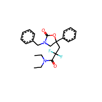 CCN(CC)C(=O)C(F)(F)CC1(c2ccccc2)CN(Cc2ccccc2)C(=O)O1